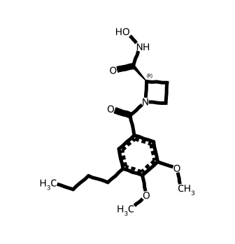 CCCCc1cc(C(=O)N2CC[C@@H]2C(=O)NO)cc(OC)c1OC